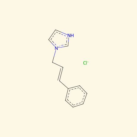 C(=Cc1ccccc1)C[n+]1cc[nH]c1.[Cl-]